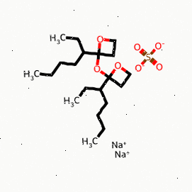 CCCCC(CC)C1(OC2(C(CC)CCCC)CCO2)CCO1.O=S(=O)([O-])[O-].[Na+].[Na+]